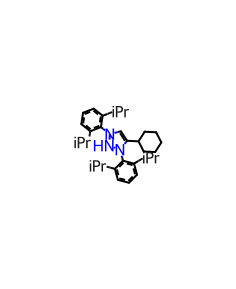 CC(C)c1cccc(C(C)C)c1N1C=C(C2CCCCC2)N(c2c(C(C)C)cccc2C(C)C)N1